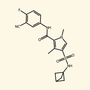 Cc1c(S(=O)(=O)NC23CC(C2)C3)cn(C)c1C(=O)Nc1ccc(F)c(C#N)c1